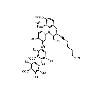 CCCCCCCCCCCCCCC#CC(=Nc1ccc(CCCCC)c(CCCCC)c1)C(CCCCCC)=Nc1ccc(CCC)c(CCC)c1.CCc1ccc(O)c(O)c1C(=O)[O-].CCc1ccc(O)c(O)c1C(=O)[O-].[Pd+2]